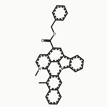 Cc1c2ccccc2cc2c1c1c3c(cc[n+]1C)c(C(=O)OCc1ccccc1)cc1c4ccccc4n2c13